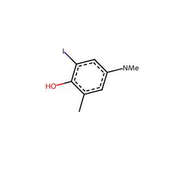 CNc1cc(C)c(O)c(I)c1